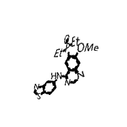 CCP(=O)(CC)c1cc2c(Nc3ccc4scnc4c3)ncnc2cc1OC